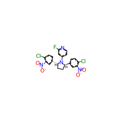 O=[N+]([O-])c1cc([C@H]2CC[C@H](c3ccc(Cl)c([N+](=O)[O-])c3)N2c2ccnc(F)c2)ccc1Cl